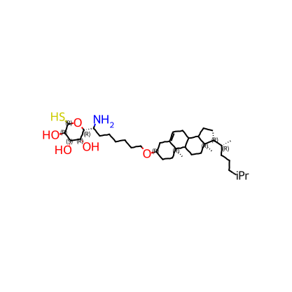 CC(C)CCC[C@@H](C)[C@H]1CCC2C3CC=C4C[C@H](OCCCCCCC(N)[C@H]5O[C@H](S)[C@H](O)[C@@H](O)[C@H]5O)CC[C@]4(C)C3CC[C@@]21C